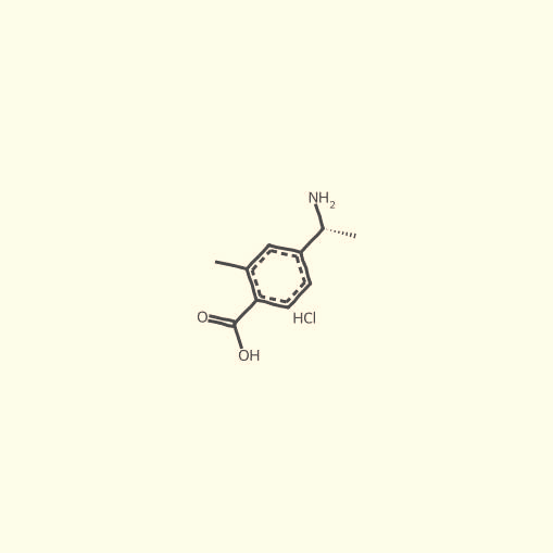 Cc1cc([C@@H](C)N)ccc1C(=O)O.Cl